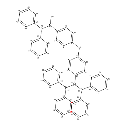 CN(c1ccc(Cc2ccc(N(P(c3ccccc3)c3ccccc3)P(c3ccccc3)c3ccccc3)cc2)cc1)P(c1ccccc1)c1ccccc1